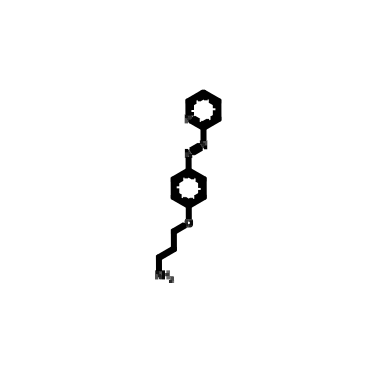 NCCCOc1ccc(N=Nc2ccccn2)cc1